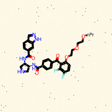 CCCOCCOCCOc1ccc(F)c(F)c1C(=O)c1ccc(C(=O)N[C@@H]2CNC[C@H]2NC(=O)c2ccc3cn[nH]c3c2)cc1